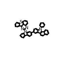 c1ccc(-n2c3ccc(-c4ccc5c6ccccc6n(-c6nc7c8c(cccc8n6)Sc6ccccc6-7)c5c4)cc3c3ccc4ccccc4c32)cc1